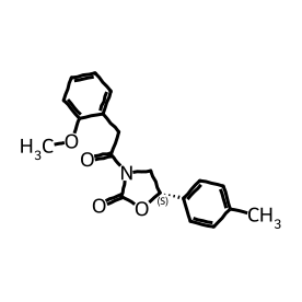 COc1ccccc1CC(=O)N1C[C@H](c2ccc(C)cc2)OC1=O